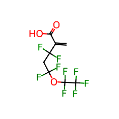 C=C(C(=O)O)C(F)(F)CC(F)(F)OC(F)(F)C(F)(F)F